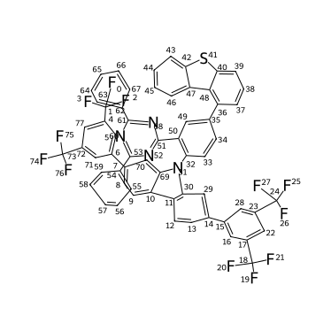 FC(F)(F)c1cc(-c2ccc3c4ccc(-c5cc(C(F)(F)F)cc(C(F)(F)F)c5)cc4n(-c4ccc(-c5cccc6sc7ccccc7c56)cc4-c4nc(-c5ccccc5)nc(-c5ccccc5)n4)c3c2)cc(C(F)(F)F)c1